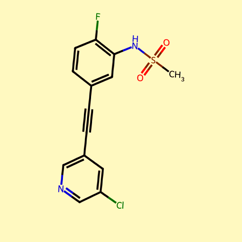 CS(=O)(=O)Nc1cc(C#Cc2cncc(Cl)c2)ccc1F